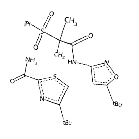 CC(C)(C)c1csc(C(N)=O)n1.CC(C)S(=O)(=O)C(C)(C)C(=O)Nc1cc(C(C)(C)C)on1